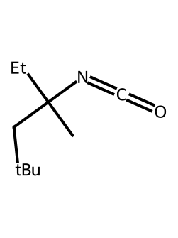 CCC(C)(CC(C)(C)C)N=C=O